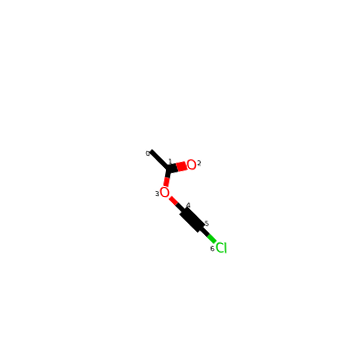 CC(=O)OC#CCl